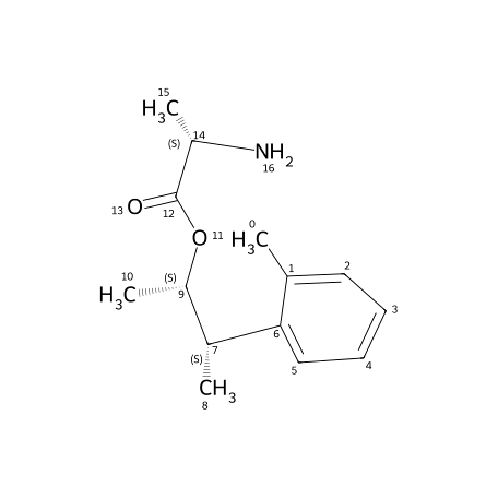 Cc1ccccc1[C@H](C)[C@H](C)OC(=O)[C@H](C)N